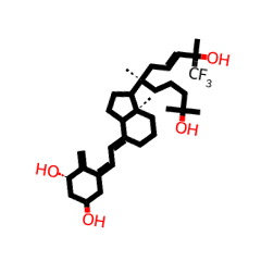 C=C1/C(=C\C=C2/CCC[C@@]3(C)C2CCC3[C@@](C)(C/C=C/C(C)(O)C(F)(F)F)CCCC(C)(C)O)CC(O)C[C@@H]1O